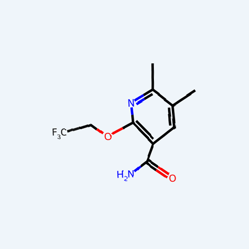 Cc1cc(C(N)=O)c(OCC(F)(F)F)nc1C